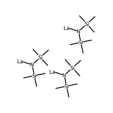 C[Si](C)(C)[N]([La])[Si](C)(C)C.C[Si](C)(C)[N]([La])[Si](C)(C)C.C[Si](C)(C)[N]([La])[Si](C)(C)C